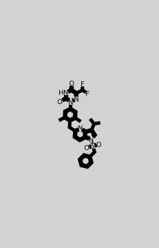 Cc1cc(-n2nc(C(F)F)c(=O)[nH]c2=O)cc(C)c1Cc1ccc2c(n1)c(C(C)C)cn2S(=O)(=O)Cc1ccccc1